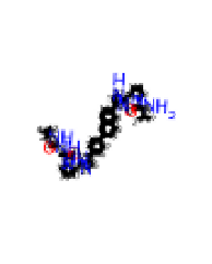 CC(C)[C@H](N)C(=O)N1CCC[C@H]1c1nc(-c2ccc3cc(-c4ccc(-c5cnc([C@@H]6CCCN6C(=O)CNC(=O)NC(C)(C)C)[nH]5)cc4)ccc3c2)c[nH]1